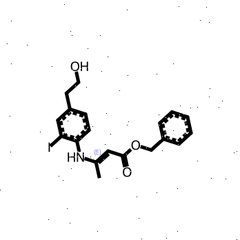 C/C(=C\C(=O)OCc1ccccc1)Nc1ccc(CCO)cc1I